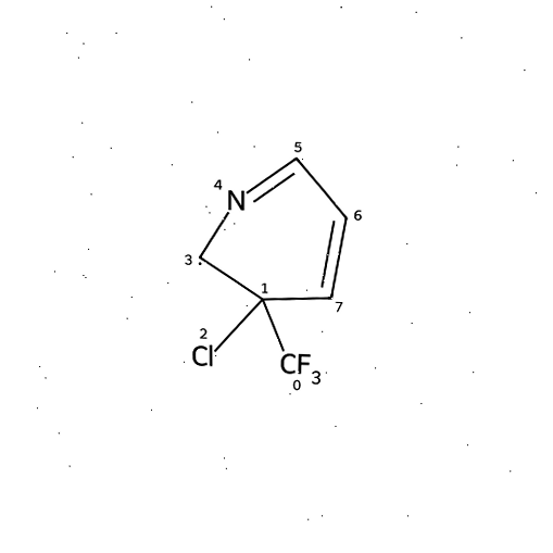 FC(F)(F)C1(Cl)[CH]N=CC=C1